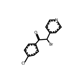 O=C(c1ccc(Cl)cc1)C(Br)c1ccncc1